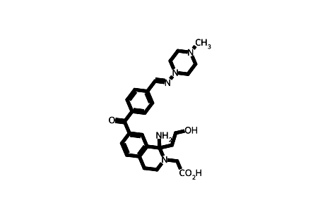 CN1CCN(N=Cc2ccc(C(=O)c3ccc4c(c3)C(N)(CCO)N(CC(=O)O)CC4)cc2)CC1